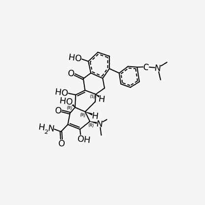 CN(C)Cc1cccc(-c2ccc(O)c3c2C[C@@H]2C[C@@H]4[C@@H](N(C)C)C(O)=C(C(N)=O)C(=O)[C@]4(O)C(O)=C2C3=O)c1